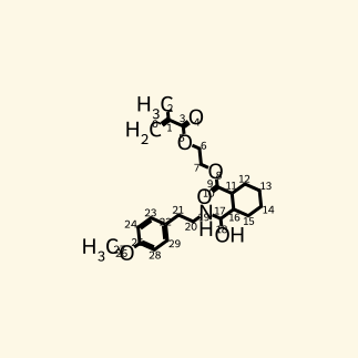 C=C(C)C(=O)OCCOC(=O)C1CCCCC1C(O)NCCc1ccc(OC)cc1